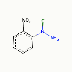 NN(Cl)c1ccccc1[N+](=O)[O-]